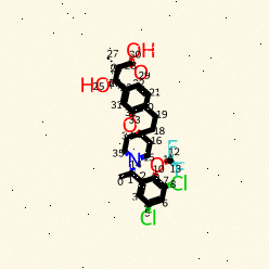 CC(c1cc(Cl)cc(Cl)c1OC(F)F)N1CCC2(CCc3ccc([C@H](O)[C@H](C)C(=O)O)cc3O2)CC1